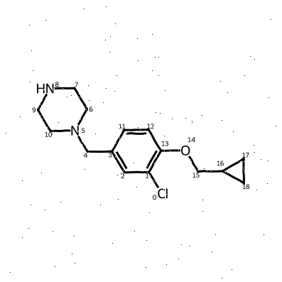 Clc1cc(CN2CCNCC2)ccc1OCC1CC1